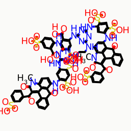 Cn1c(=O)c(C(=O)c2cccc(S(=O)(=O)O)c2)c2c3c(c(Nc4cc(Nc5nc(NCCNc6nc(Nc7ccc(S(=O)(=O)O)cc7C(=O)O)nc(Nc7cc(Nc8ccc9c%10c8C(=O)c8ccccc8-c%10c(C(=O)c8cccc(S(=O)(=O)O)c8)c(=O)n9C)c(S(=O)(=O)O)cc7S(=O)(=O)O)n6)nc(Nc6cc(S(=O)(=O)O)ccc6C(=O)O)n5)c(S(=O)(=O)O)cc4S(=O)(=O)O)ccc31)C(=O)c1ccccc1-2